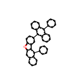 c1ccc(-c2c3ccccc3c(-c3ccc4oc5cc6ccccc6c(-c6ccccc6)c5c4c3)c3ccccc23)cc1